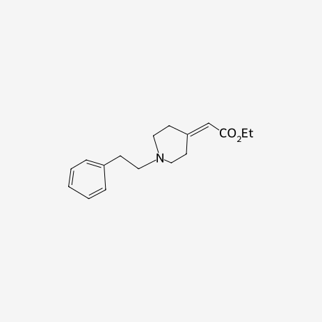 CCOC(=O)C=C1CCN(CCc2ccccc2)CC1